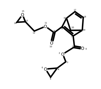 O=C(OCC1CO1)C1=C(C(=O)OCC2CO2)C2C=CC1C2